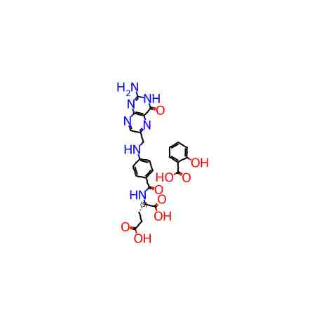 Nc1nc2ncc(CNc3ccc(C(=O)N[C@@H](CCC(=O)O)C(=O)O)cc3)nc2c(=O)[nH]1.O=C(O)c1ccccc1O